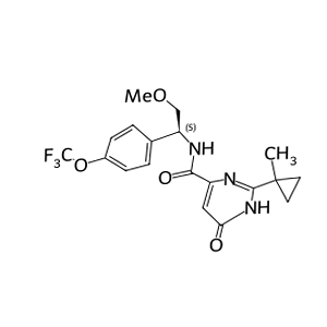 COC[C@@H](NC(=O)c1cc(=O)[nH]c(C2(C)CC2)n1)c1ccc(OC(F)(F)F)cc1